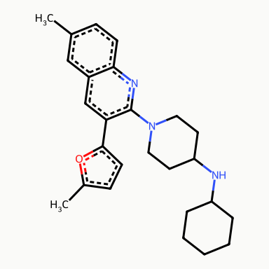 Cc1ccc2nc(N3CCC(NC4CCCCC4)CC3)c(-c3ccc(C)o3)cc2c1